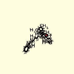 Cc1cc(C)c(S(=O)(=O)NC(CCCCCNc2nc3ccccc3[nH]2)(NC(=O)C2CCON2)C(=O)O)c(C)c1